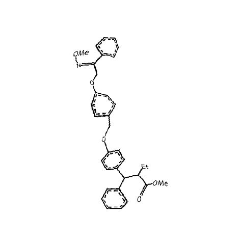 CCC(C(=O)OC)C(c1ccccc1)c1ccc(OCc2ccc(OCC(=NOC)c3ccccc3)cc2)cc1